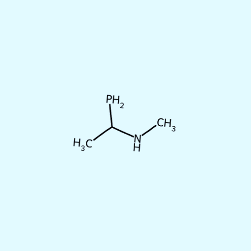 CNC(C)P